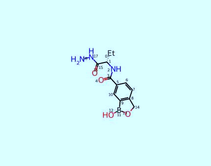 CC[C@H](NC(=O)c1ccc2c(c1)B(O)OC2)C(=O)NN